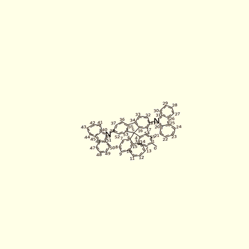 Cc1ccc(C2(c3cccc4ccccc34)c3cc(-n4c5ccccc5c5ccccc54)ccc3-c3ccc(-n4c5ccccc5c5ccccc54)cc32)cc1